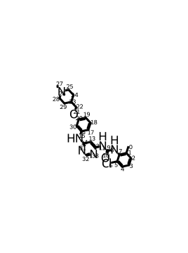 Cc1cccc(Cl)c1NC(=O)Nc1cc(Nc2cccc(OCC3CCN(C)CC3)c2)ncn1